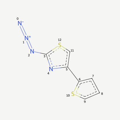 [N-]=[N+]=Nc1nc(-c2cccs2)cs1